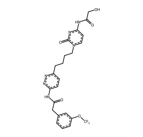 O=C(Cc1cccc(OC(F)(F)F)c1)Nc1ccc(CCCCn2ccc(NC(=O)CO)nc2=O)nn1